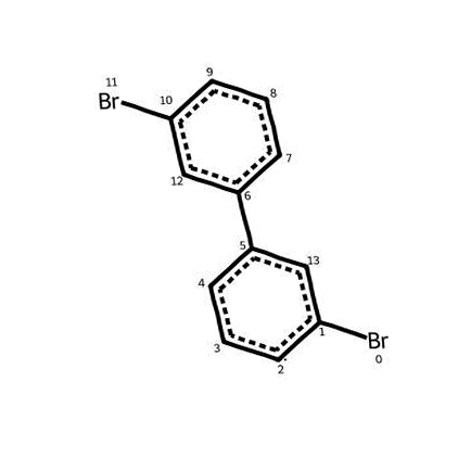 Brc1[c]ccc(-c2cccc(Br)c2)c1